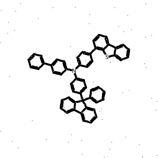 c1ccc(-c2ccc(N(c3ccc(-c4cccc5c4sc4ccccc45)cc3)c3ccc(C4(c5ccccc5)c5ccccc5-c5ccccc54)cc3)cc2)cc1